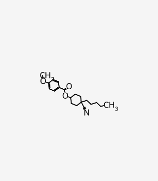 CCCCCC1(C#N)CCC(OC(=O)c2ccc(OC)cc2)CC1